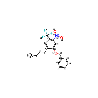 CCCCc1cc(C(F)(F)F)c([N+](=O)[O-])cc1OCc1ccccc1